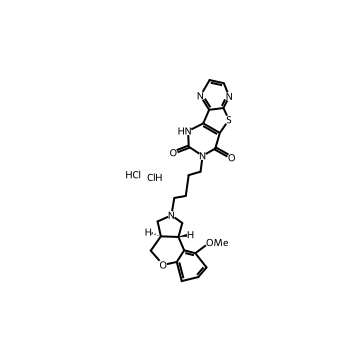 COc1cccc2c1[C@H]1CN(CCCCn3c(=O)[nH]c4c(sc5nccnc54)c3=O)C[C@@H]1CO2.Cl.Cl